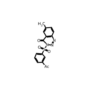 CC(=O)c1cccc(S(=O)(=O)n2nnc3ccc(C)cc3c2=O)c1